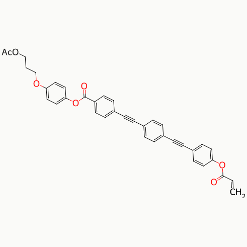 C=CC(=O)Oc1ccc(C#Cc2ccc(C#Cc3ccc(C(=O)Oc4ccc(OCCCOC(C)=O)cc4)cc3)cc2)cc1